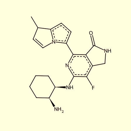 CC1C=Cn2c(-c3nc(N[C@@H]4CCCC[C@@H]4N)c(F)c4c3C(=O)NC4)ccc21